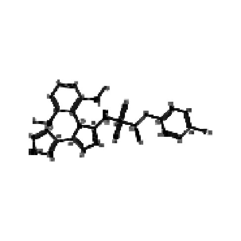 COc1cccc(OC)c1-n1c(NS(=O)(=O)[C@H](C)Cc2ncc(F)cn2)nnc1-c1cc[nH]n1